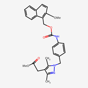 COC(=O)Cc1c(C)nn(Cc2ccc(NC(=O)OCc3c(OC)ccc4ccccc34)cc2)c1C